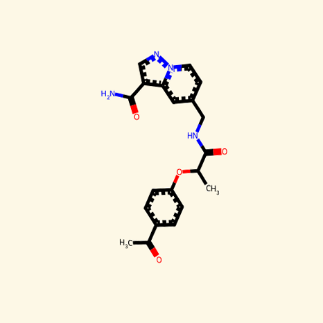 CC(=O)c1ccc(OC(C)C(=O)NCc2ccn3ncc(C(N)=O)c3c2)cc1